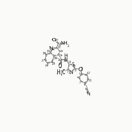 Cc1nc(Oc2ccc(C#N)cc2)sc1NC(=O)c1cc(C(N)=O)nc2ccccc12